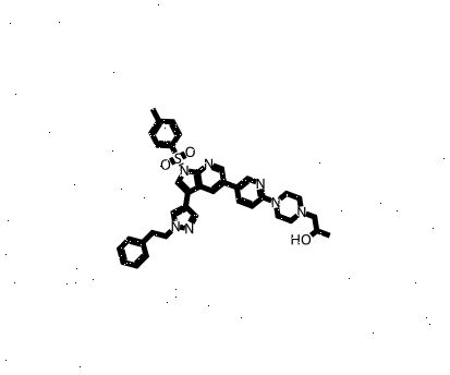 Cc1ccc(S(=O)(=O)n2cc(-c3cnn(CCc4ccccc4)c3)c3cc(-c4ccc(N5CCN(CC(C)O)CC5)nc4)cnc32)cc1